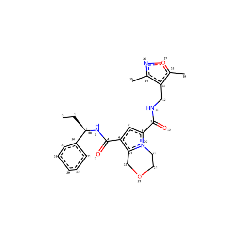 CC[C@@H](NC(=O)c1cc(C(=O)NCc2c(C)noc2C)n2c1COCC2)c1ccccc1